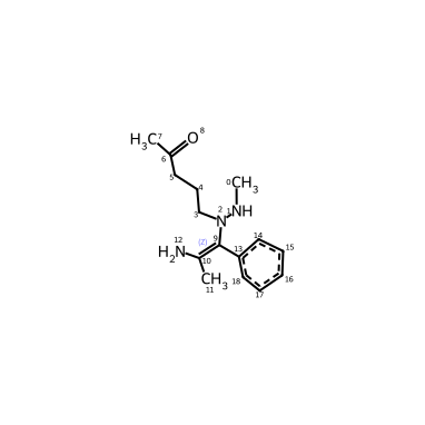 CNN(CCCC(C)=O)/C(=C(/C)N)c1ccccc1